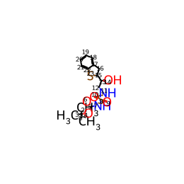 CC(C)(C)OC(=O)NS(=O)(=O)NCC(O)C1Cc2ccccc2S1